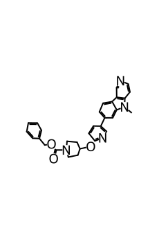 Cn1c2ccncc2c2ccc(-c3ccc(OC4CCN(C(=O)OCc5ccccc5)CC4)nc3)cc21